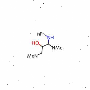 CCCNC(NC)C(O)CNC